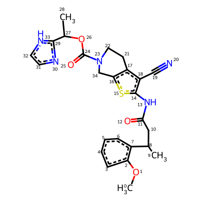 COc1ccccc1C(C)CC(=O)Nc1sc2c(c1C#N)CCN(C(=O)OC(C)c1ncc[nH]1)C2